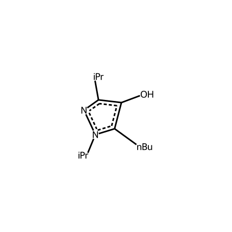 CCCCc1c(O)c(C(C)C)nn1C(C)C